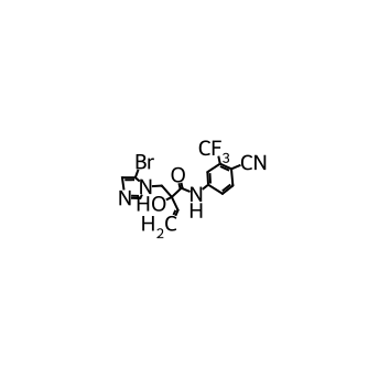 C=CC(O)(Cn1cncc1Br)C(=O)Nc1ccc(C#N)c(C(F)(F)F)c1